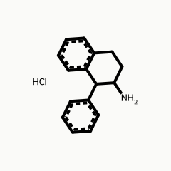 Cl.NC1CCc2ccccc2C1c1ccccc1